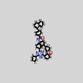 c1ccc(-c2nc(-c3ccccc3)nc(-c3cccc4oc5ccc(-c6ccc7nc(-c8ccc(-c9cccc%10ccccc9%10)cc8)oc7c6)cc5c34)n2)cc1